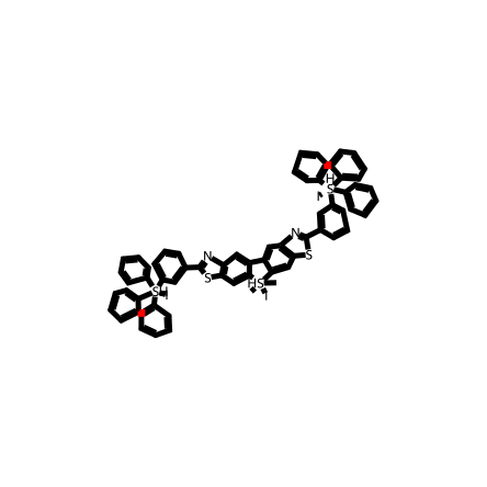 C[SH]1(C)(I)c2cc3sc(-c4cccc([SH](I)(c5ccccc5)(c5ccccc5)c5ccccc5)c4)nc3cc2-c2cc3nc(-c4cccc([SH](I)(c5ccccc5)(c5ccccc5)c5ccccc5)c4)sc3cc21